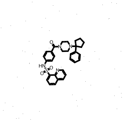 O=C(c1ccc(NS(=O)(=O)c2cccc3cccnc23)cc1)N1CCN(C2(c3ccccc3)CCCC2)CC1